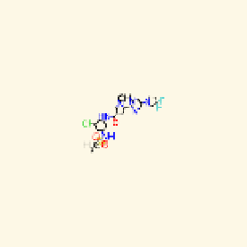 Cn1cc(C(=O)Nc2cc(Cl)cc(NS(C)(=O)=O)c2)cc1-c1ncc(N2CCC(F)(F)C2)cn1